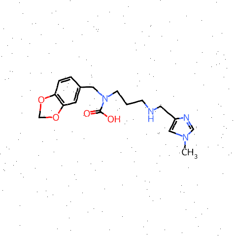 Cn1cnc(CNCCCN(Cc2ccc3c(c2)OCO3)C(=O)O)c1